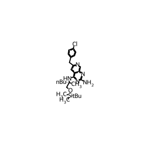 CCCC[C@](C)(CO[Si](C)(C)C(C)(C)C)Nc1nc(N)nc2cnc(Cc3ccc(Cl)cc3)cc12